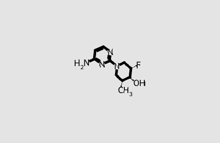 C[C@@H]1CN(c2nccc(N)n2)C[C@H](F)[C@@H]1O